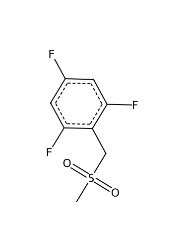 CS(=O)(=O)Cc1c(F)cc(F)cc1F